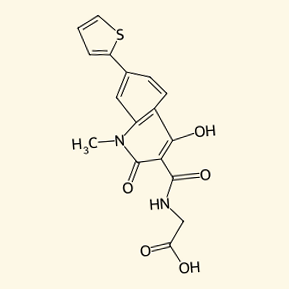 Cn1c(=O)c(C(=O)NCC(=O)O)c(O)c2ccc(-c3cccs3)cc21